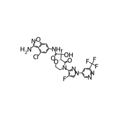 C[C@](O)(C(=O)Nc1cc(Cl)c2c(N)noc2c1)[C@H]1OCCN(c2nn(-c3cnnc(C(F)(F)F)c3)cc2F)C1=O